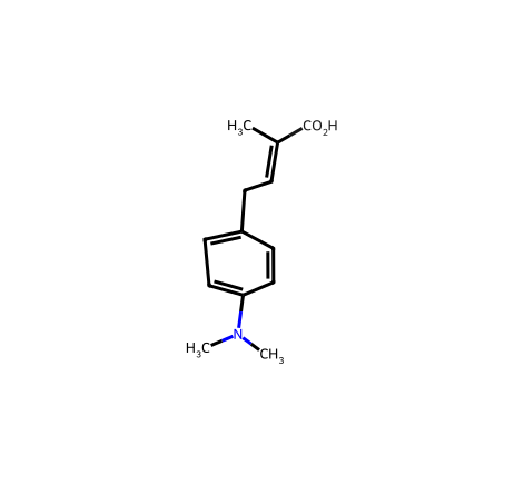 CC(=CCc1ccc(N(C)C)cc1)C(=O)O